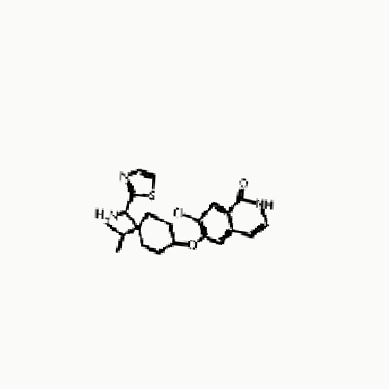 CC(C)C1(C(N)c2nccs2)CCC(Oc2cc3cc[nH]c(=O)c3cc2Cl)CC1